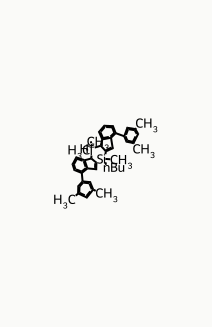 CCCC[Si]1(C)C2=Cc3c(-c4cc(C)cc(C)c4)cccc3[CH]2[Hf]([CH3])([CH3])[CH]2C1=Cc1c(-c3cc(C)cc(C)c3)cccc12